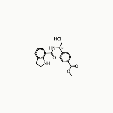 COC(=O)c1ccc([C@H](C)NC(=O)c2cccc3c2NCC3)cc1.Cl